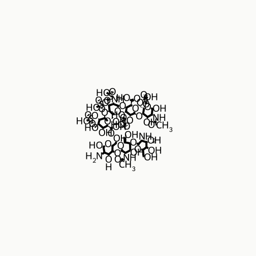 CC(=O)NC1C(OC2C(CO)OC(O)C(N)C2O)OC(CO)C(OC2OC(CO)C(O)C(O)C2N)C1O.CC(=O)N[C@@H]1[C@@H](O)[C@H](O[C@@H]2O[C@H](C(=O)O)[C@@H](O[C@@H]3O[C@H](CO)[C@@H](O[C@H]4O[C@@H](C(=O)O)[C@H](O)[C@@H](O)[C@@H]4OS(=O)(=O)O)[C@H](OS(=O)(=O)O)[C@H]3NS(=O)(=O)O)[C@H](O)[C@H]2OS(=O)(=O)O)[C@H](COS(=O)(=O)O)O[C@H]1O